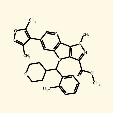 COC(=O)c1nn(C)c2c3ncc(-c4c(C)noc4C)cc3n(C(c3ccccc3C)C3CCOCC3)c12